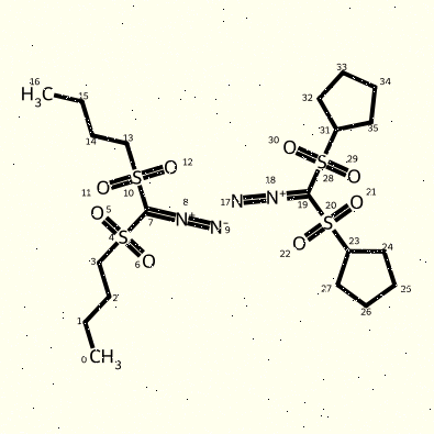 CCCCS(=O)(=O)C(=[N+]=[N-])S(=O)(=O)CCCC.[N-]=[N+]=C(S(=O)(=O)C1CCCC1)S(=O)(=O)C1CCCC1